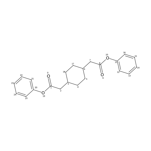 O=C(CC1CCC(CC(=O)Oc2ccccc2)CC1)Oc1ccccc1